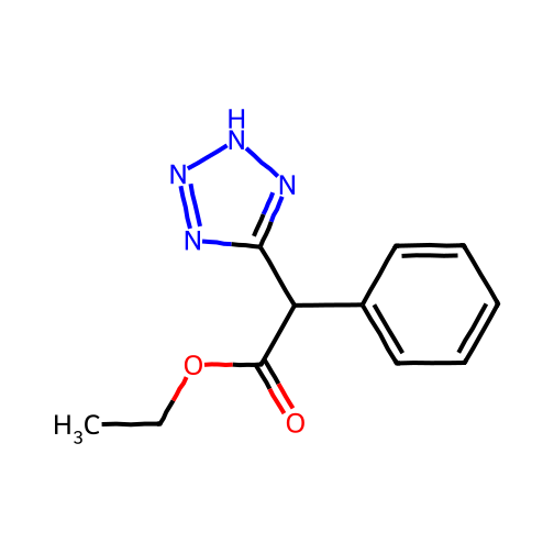 CCOC(=O)C(c1ccccc1)c1nn[nH]n1